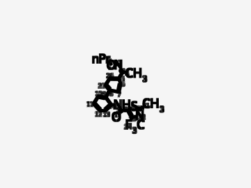 CCCO/N=C(/C)c1ccc(-c2ccccc2NC(=O)c2sc(C)nc2C(F)(F)F)cc1